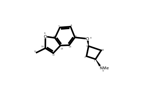 CN[C@H]1C[C@@H](Oc2ccc3oc(C)cc3c2)C1